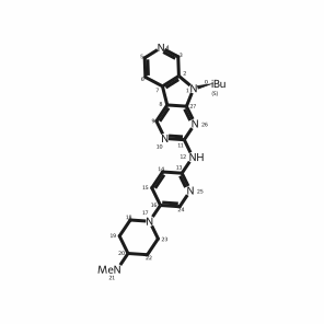 CC[C@H](C)n1c2cnccc2c2cnc(Nc3ccc(N4CCC(NC)CC4)cn3)nc21